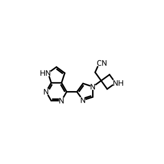 N#CCC1(n2cnc(-c3ncnc4[nH]ccc34)c2)CNC1